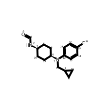 O=CN[C@H]1CC[C@@H](N(CC2CC2)c2ccc(F)cc2)CC1